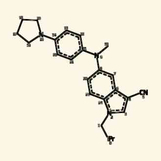 CC(C)Cn1cc(C#N)c2cc(N(C)c3ccc(N4CCCC4)cc3)ccc21